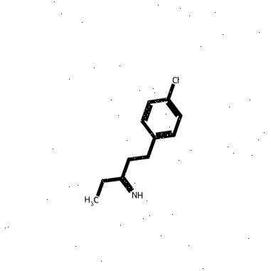 CCC(=N)CCc1ccc(Cl)cc1